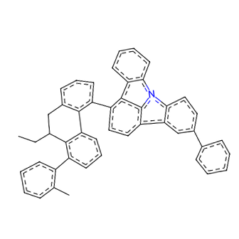 CCC1Cc2cccc(-c3ccc4c5cc(-c6ccccc6)ccc5n5c6ccccc6c3c45)c2-c2cccc(-c3ccccc3C)c21